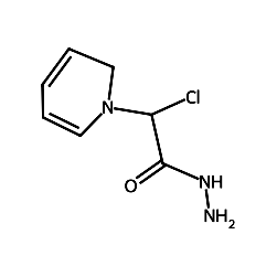 NNC(=O)C(Cl)N1C=CC=CC1